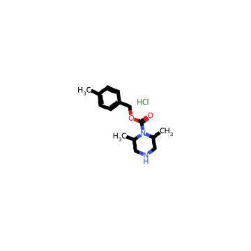 Cc1ccc(COC(=O)N2C(C)CNCC2C)cc1.Cl